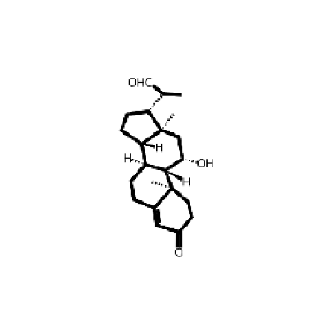 CC(C=O)[C@H]1CC[C@H]2[C@@H]3CCC4=CC(=O)CC[C@]4(C)[C@H]3[C@@H](O)C[C@]12C